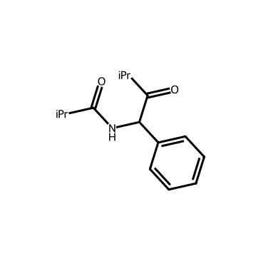 CC(C)C(=O)NC(C(=O)C(C)C)c1ccccc1